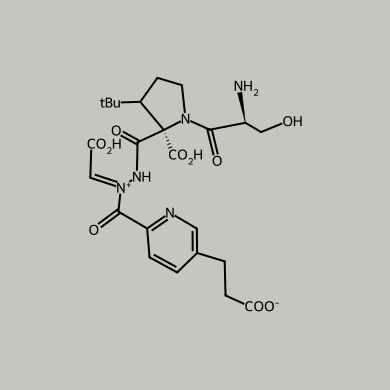 CC(C)(C)C1CCN(C(=O)[C@@H](N)CO)[C@@]1(C(=O)O)C(=O)N[N+](=CC(=O)O)C(=O)c1ccc(CCC(=O)[O-])cn1